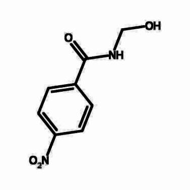 O=C(NCO)c1ccc([N+](=O)[O-])cc1